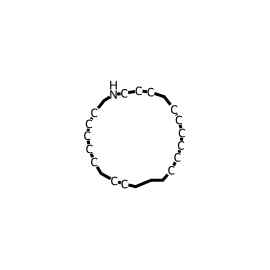 C1CCCCCCCCCCCNCCCCCCCCCC1